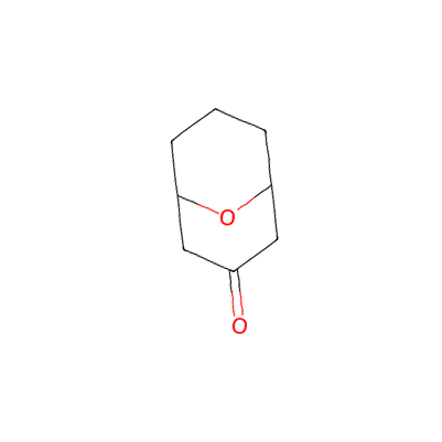 O=C1CC2CCCC(C1)O2